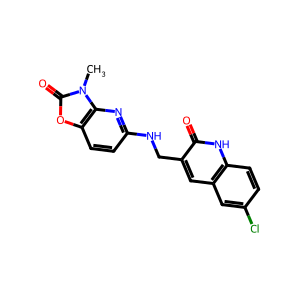 Cn1c(=O)oc2ccc(NCc3cc4cc(Cl)ccc4[nH]c3=O)nc21